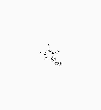 CC1=C[SiH](C(=O)O)C(C)=C1C